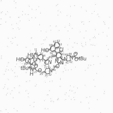 Cc1ncsc1-c1ccc([C@H](C)NC(=O)[C@@H]2C[C@@H](O)CN2C(=O)[C@@H](NC(=O)COCC2CCN(CCOc3nc(N4CCN(C(=O)OC(C)(C)C)CC4)c4cc(Cl)c(-c5cc(O)cc6ccccc56)c(F)c4n3)CC2)C(C)(C)C)cc1